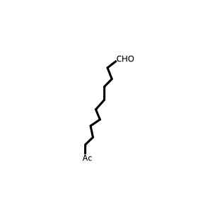 CC(=O)CCCCCCCCCC=O